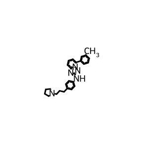 Cc1cccc(-c2cccc3nc(Nc4ccc(CCCN5CCCC5)cc4)nn23)c1